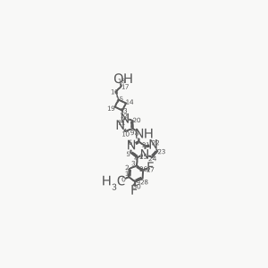 Cc1cc(-c2cnc(Nc3cnn([C@H]4C[C@H](CCO)C4)c3)c3nccn23)c(F)cc1F